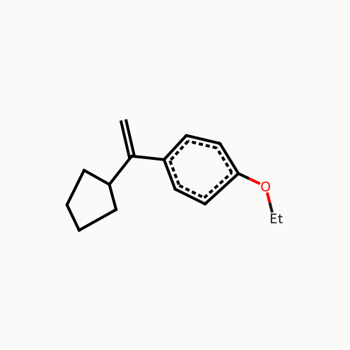 C=C(c1ccc(OCC)cc1)C1CCCC1